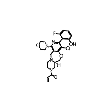 C=CC(=O)N1CCN2Cc3c(N4CCOCC4)nc(-c4c(O)cccc4F)c(Cl)c3OC[C@H]2C1